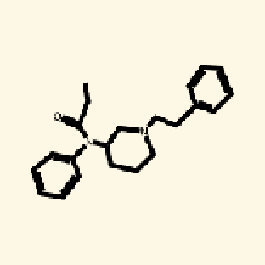 CCC(=O)N(c1ccccc1)C1CCCN(CCc2ccccc2)C1